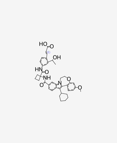 COc1ccc2c(c1)OCCn1c-2c(C2CCCCC2)c2ccc(C(=O)NC3(C(=O)Nc4ccc(/C=C/C(=O)O)c(C(C)O)c4)CCC3)cc21